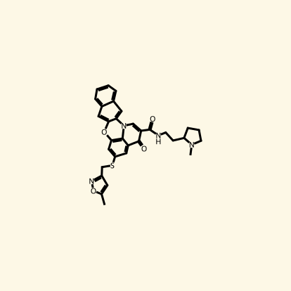 Cc1cc(CSc2cc3c4c(c2)c(=O)c(C(=O)NCCC2CCCN2C)cn4-c2cc4ccccc4cc2O3)no1